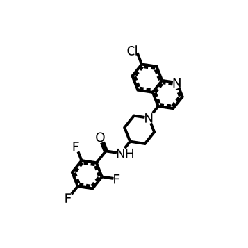 O=C(NC1CCN(c2ccnc3cc(Cl)ccc23)CC1)c1c(F)cc(F)cc1F